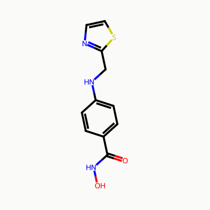 O=C(NO)c1ccc(NCc2nccs2)cc1